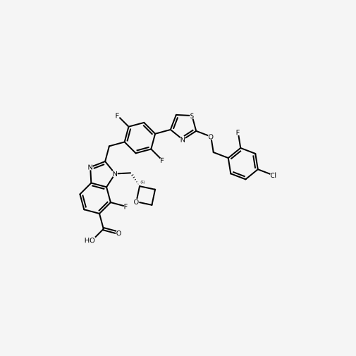 O=C(O)c1ccc2nc(Cc3cc(F)c(-c4csc(OCc5ccc(Cl)cc5F)n4)cc3F)n(C[C@@H]3CCO3)c2c1F